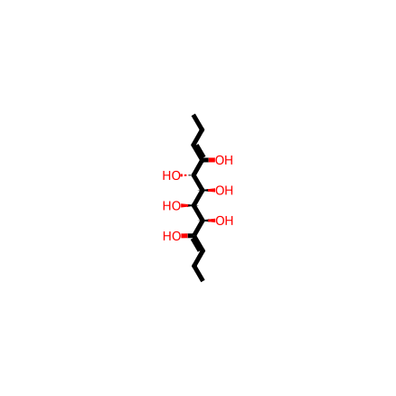 CCC=C(O)[C@@H](O)[C@@H](O)[C@H](O)[C@@H](O)C(O)=CCC